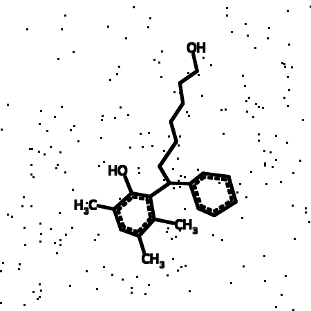 Cc1cc(C)c(O)c(C(CCCCCCO)c2ccccc2)c1C